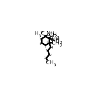 CCCCCC1(C)CCCC(C)(N)C1(C)N